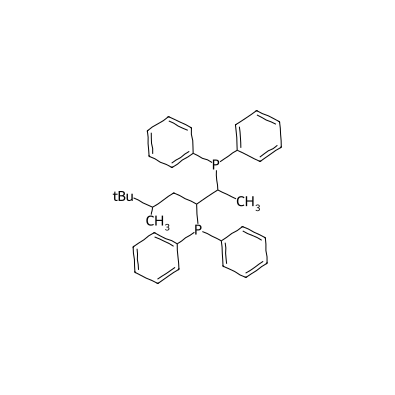 CC(C(CC(C)C(C)(C)C)P(c1ccccc1)c1ccccc1)P(c1ccccc1)c1ccccc1